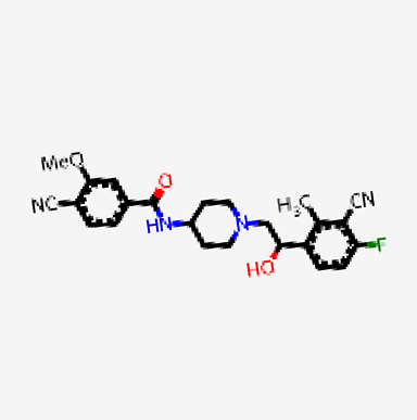 COc1cc(C(=O)NC2CCN(CC(O)c3ccc(F)c(C#N)c3C)CC2)ccc1C#N